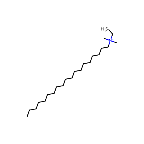 CCCCCCCCCCCCCCCCCCC[N+](C)(C)C[SiH3]